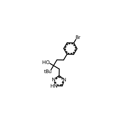 CC(C)(C)C(O)(CCc1ccc(Br)cc1)Cc1nc[nH]n1